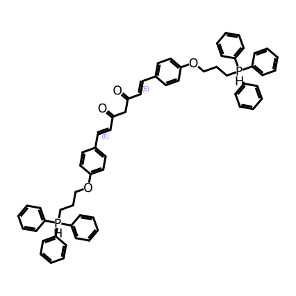 O=C(/C=C/c1ccc(OCCC[PH](c2ccccc2)(c2ccccc2)c2ccccc2)cc1)CC(=O)/C=C/c1ccc(OCCC[PH](c2ccccc2)(c2ccccc2)c2ccccc2)cc1